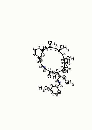 C=C1C[C@H](C)C[C@@H]2CC=C[C@@H](C/C=C\C(=O)N[C@H]([C@H](/C=C/[C@@H]3CC(C)=CCO3)OC)C[C@@H]3C[C@H]3[C@@H](O)C1)O2